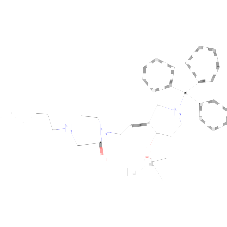 CCOC(=O)CCN1CCN(C/C=C2/CN(C(c3ccccc3)(c3ccccc3)c3ccccc3)CCC2O[Si](C)(C)C(C)(C)C)C(=O)C1